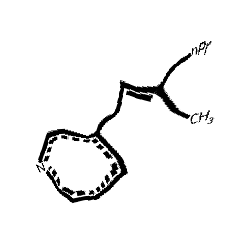 CCCC(C)=Cc1cccnc1